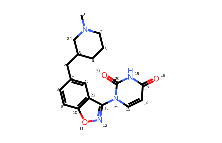 CN1CCCC(Cc2ccc3onc(-n4ccc(=O)[nH]c4=O)c3c2)C1